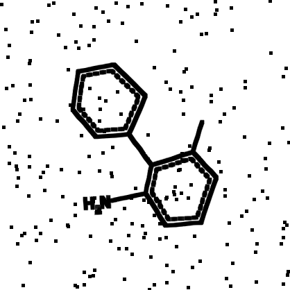 Cc1cccc(N)c1-c1ccccc1